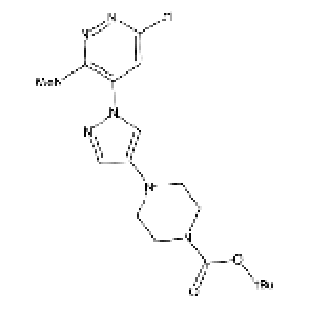 CNc1nnc(Cl)cc1-n1cc(N2CCN(C(=O)OC(C)(C)C)CC2)cn1